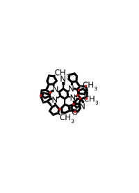 Cc1ccc2c3ccccc3n(-c3c(C#N)c(-n4c5ccccc5c5ccc(C)cc54)c(-n4c5ccccc5c5ccc(C)cc54)c(-c4cccc5oc6ncccc6c45)c3-n3c4ccccc4c4ccc(C)cc43)c2c1